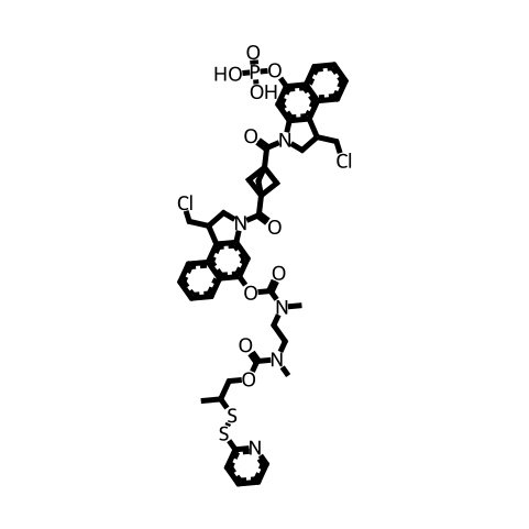 CC(COC(=O)N(C)CCN(C)C(=O)Oc1cc2c(c3ccccc13)C(CCl)CN2C(=O)C12CC(C(=O)N3CC(CCl)c4c3cc(OP(=O)(O)O)c3ccccc43)(C1)C2)SSc1ccccn1